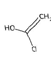 C=C(O)Cl